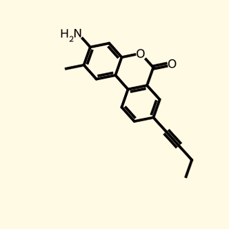 CCC#Cc1ccc2c(c1)c(=O)oc1cc(N)c(C)cc12